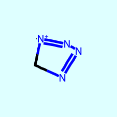 C1N=NN=[N+]1